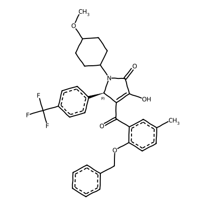 COC1CCC(N2C(=O)C(O)=C(C(=O)c3cc(C)ccc3OCc3ccccc3)[C@H]2c2ccc(C(F)(F)F)cc2)CC1